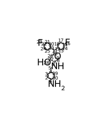 Nc1ccc(CNC2COC(C(c3ccc(F)cc3)c3ccc(F)cc3)CC2O)cc1